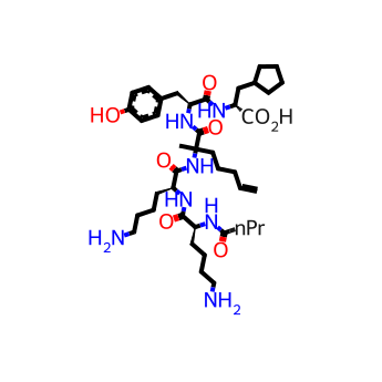 C=CCCCC(C)(NC(=O)[C@H](CCCCN)NC(=O)[C@H](CCCCN)NC(=O)CCC)C(=O)N[C@@H](Cc1ccc(O)cc1)C(=O)N[C@@H](CC1CCCC1)C(=O)O